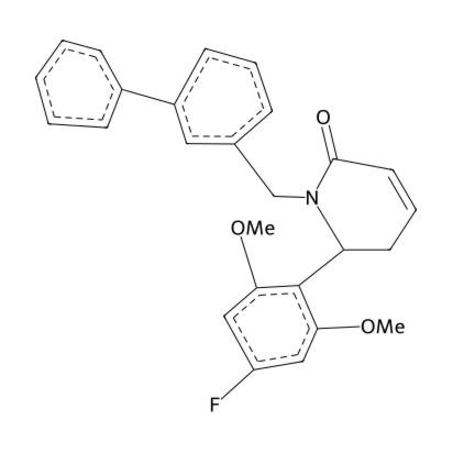 COc1cc(F)cc(OC)c1C1CC=CC(=O)N1Cc1cccc(-c2ccccc2)c1